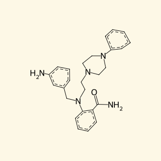 NC(=O)c1ccccc1N(CCN1CCN(c2ccccc2)CC1)Cc1cccc(N)c1